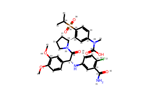 COc1ccc([C@@H](Nc2ccc(F)c(C(N)=O)c2)C(=O)N2CCC[C@@H]2c2cc(N(C)C(=O)O)ccc2S(=O)(=O)C(C)C)cc1OC